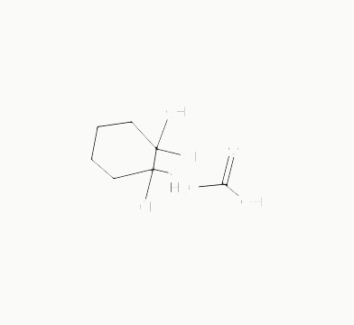 CC(=O)O.CC1(C)CCCCC1(C)O